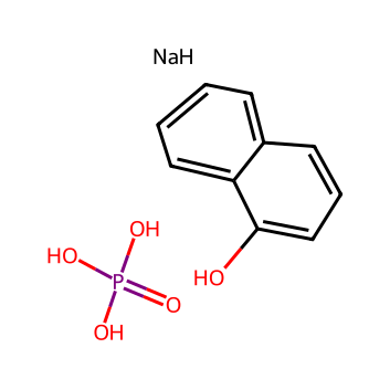 O=P(O)(O)O.Oc1cccc2ccccc12.[NaH]